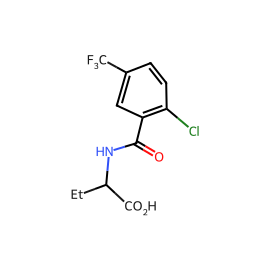 CCC(NC(=O)c1cc(C(F)(F)F)ccc1Cl)C(=O)O